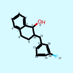 OC1c2ccccc2CCC1Cc1cccc(F)c1